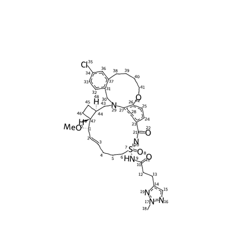 CO[C@H]1/C=C/CCC[S@@](=O)(NC(=O)CCc2cnn(C)n2)=NC(=O)c2ccc3c(c2)N(Cc2ccc(Cl)cc2CCCCO3)C[C@@H]2CC[C@H]21